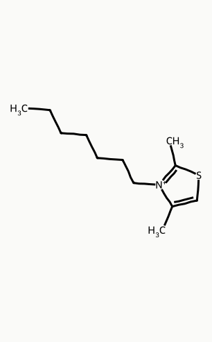 CCCCCCC[n+]1c(C)csc1C